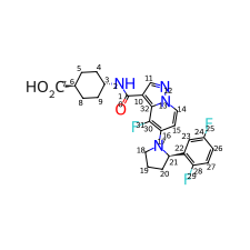 O=C(N[C@H]1CC[C@H](C(=O)O)CC1)c1cnn2ccc(N3CCC[C@@H]3c3cc(F)ccc3F)c(F)c12